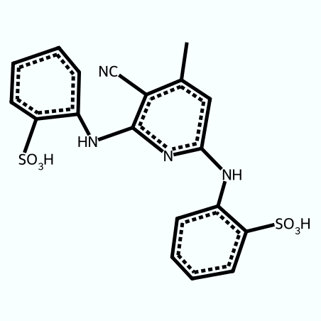 Cc1cc(Nc2ccccc2S(=O)(=O)O)nc(Nc2ccccc2S(=O)(=O)O)c1C#N